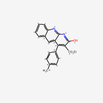 CCOC(=O)c1c(O)nc2nc3ccccc3cc2c1-c1ccc(C)cc1